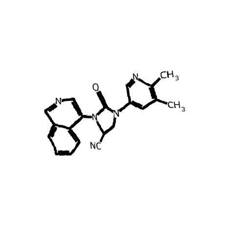 Cc1cc(N2CC(C#N)N(c3cncc4ccccc34)C2=O)cnc1C